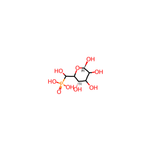 O=P(O)(O)C(O)C1O[C@@H](O)C(O)C(O)[C@@H]1O